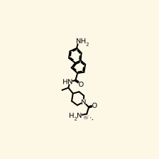 CC(NC(=O)c1ccc2cc(N)ccc2c1)C1CCN(C(=O)[C@H](C)N)CC1